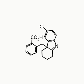 O=C(O)c1ccccc1CC12CCCCC1=Nc1ccc(Cl)cc12